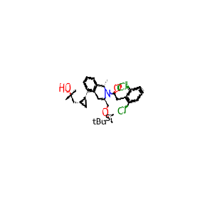 C[C@H]1c2cccc([C@@H]3C[C@@H]3CC(C)(C)O)c2C[C@H](CO[Si](C)(C)C(C)(C)C)N1C(=O)Cc1c(Cl)cccc1Cl